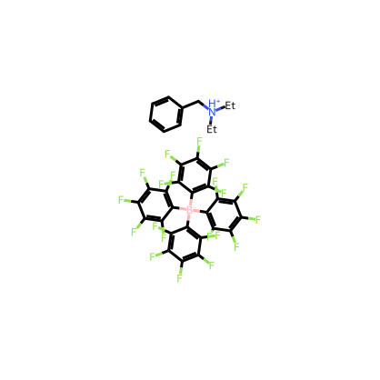 CC[NH+](CC)Cc1ccccc1.Fc1c(F)c(F)c([B-](c2c(F)c(F)c(F)c(F)c2F)(c2c(F)c(F)c(F)c(F)c2F)c2c(F)c(F)c(F)c(F)c2F)c(F)c1F